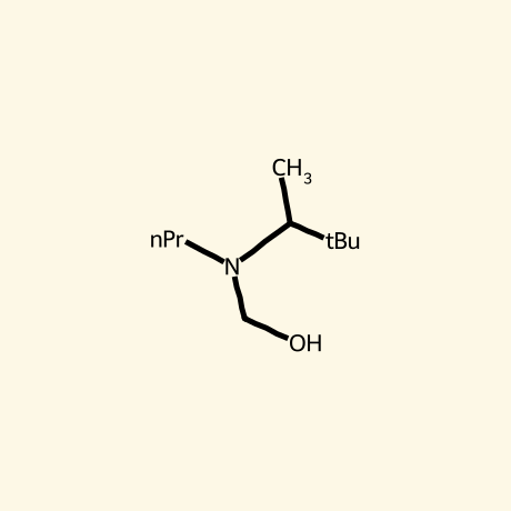 CCCN(CO)C(C)C(C)(C)C